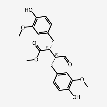 COC(=O)[C@H](Cc1ccc(O)c(OC)c1)[C@H](C=O)Cc1ccc(O)c(OC)c1